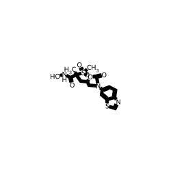 CC(CC1CN(c2ccc3ncsc3c2)C(=O)O1)(C(=O)NO)S(C)(=O)=O